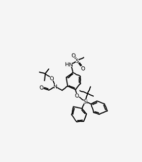 CC(C)(C)ON(C=O)Cc1cc(NS(C)(=O)=O)ccc1O[Si](c1ccccc1)(c1ccccc1)C(C)(C)C